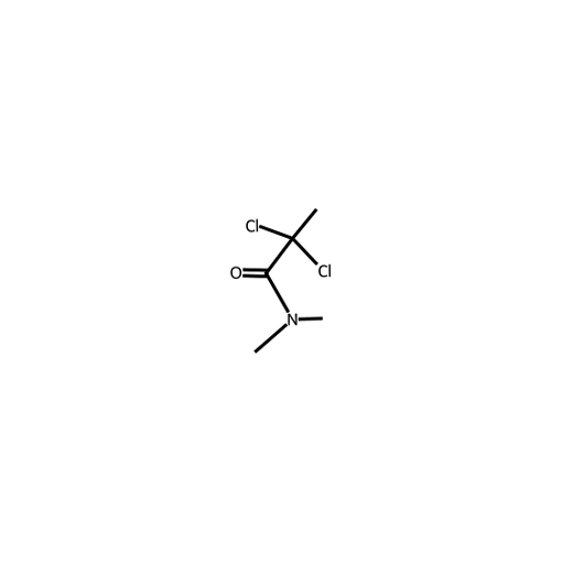 CN(C)C(=O)C(C)(Cl)Cl